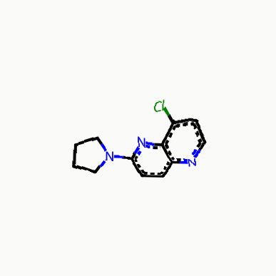 Clc1ccnc2ccc(N3CCCC3)nc12